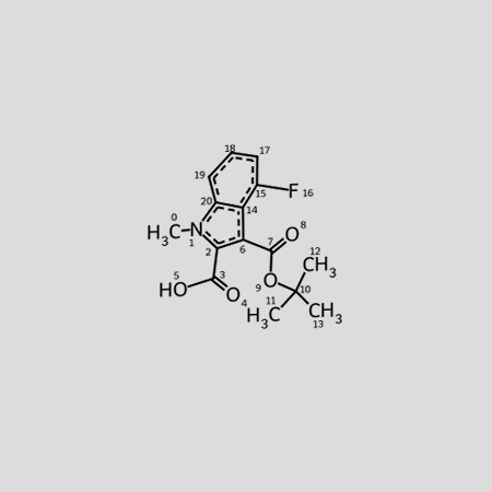 Cn1c(C(=O)O)c(C(=O)OC(C)(C)C)c2c(F)cccc21